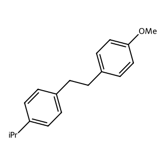 COc1ccc(CCc2ccc(C(C)C)cc2)cc1